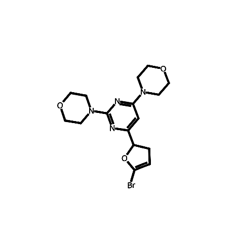 BrC1=CCC(c2cc(N3CCOCC3)nc(N3CCOCC3)n2)O1